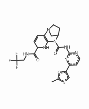 Cc1ncc(-c2ccnc(NC(=O)N3C4=C(C=CC(C(=O)NCC(F)(F)F)N4)N4CCC3C4)n2)o1